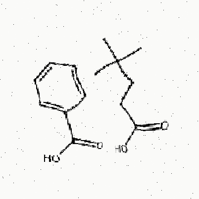 CC(C)(C)CCC(=O)O.O=C(O)c1ccccc1